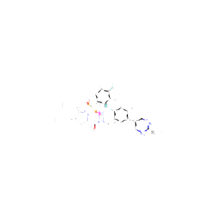 C[C@@H]1C[C@@H](C(=O)NCc2cc(-c3cnc(C(F)(F)F)nc3)ccc2F)N(S(=O)(=O)c2ccc(F)cc2)[C@H]1C